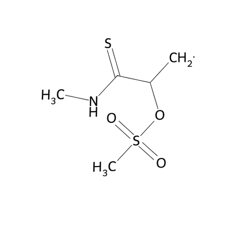 [CH2]C(OS(C)(=O)=O)C(=S)NC